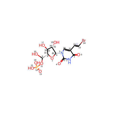 O=c1[nH]c(=O)n([C@@H]2O[C@H](C(O)OP(=O)(O)O)[C@@H](O)[C@@H]2O)cc1/C=C/Br